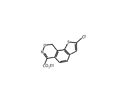 CCOC(=O)C1=NOCc2c1ccc1cc(Cl)sc21